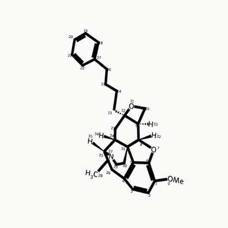 COc1ccc2c3c1O[C@H]1[C@@H]4CO[C@]4(CCCCc4ccccc4)C[C@H]4[C@@H](C2)N(C)CC[C@@]341